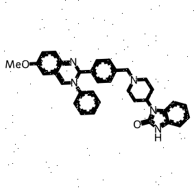 COc1ccc2c(c1)=CN(c1ccccc1)C(c1ccc(CN3CCC(n4c(=O)[nH]c5ccccc54)CC3)cc1)N=2